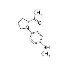 CBc1ccc(N2CCCC2C(C)=O)cc1